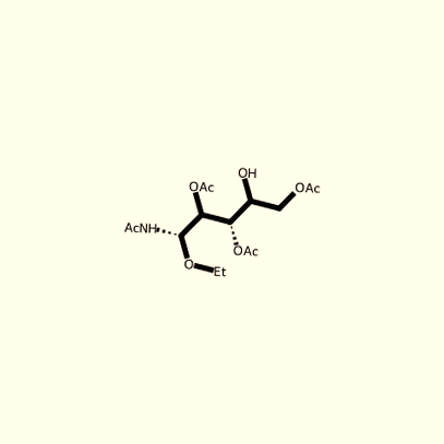 CCO[C@H](NC(C)=O)C(OC(C)=O)[C@@H](OC(C)=O)C(O)COC(C)=O